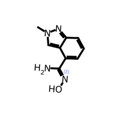 Cn1cc2c(/C(N)=N/O)cccc2n1